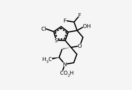 C[C@H]1C[C@@]2(CCN1C(=O)O)OCC(O)(C(F)F)c1cc(Cl)sc12